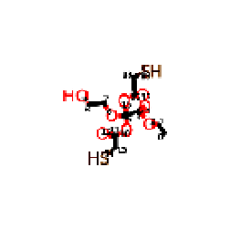 CCOC(=O)C(OCCO)(OC(=O)CS)OC(=O)CS